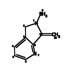 BN1Cc2cccnc2C1=C